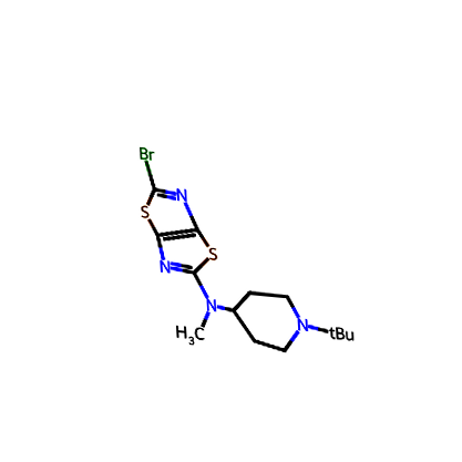 CN(c1nc2sc(Br)nc2s1)C1CCN(C(C)(C)C)CC1